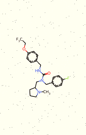 CN1CCCC1CN(Cc1ccc(F)cc1)C(=O)NCc1ccc(OCC(F)(F)F)cc1